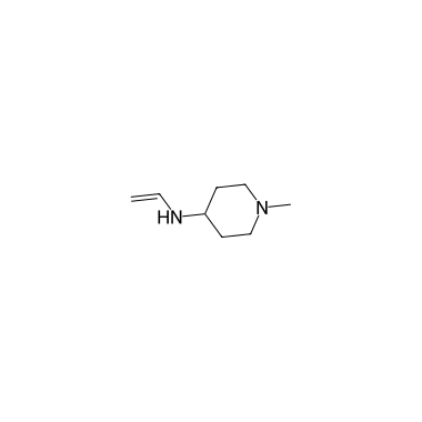 C=CNC1CCN(C)CC1